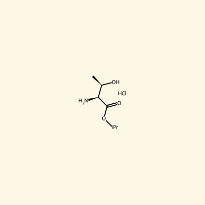 CC(C)OC(=O)[C@@H](N)[C@@H](C)O.Cl